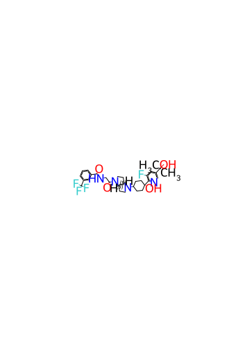 CC(C)(O)c1cnc(C2(O)CCC(N3CC[C@H]4[C@@H]3CCN4C(=O)CNC(=O)c3cccc(C(F)(F)F)c3)CC2)c(F)c1